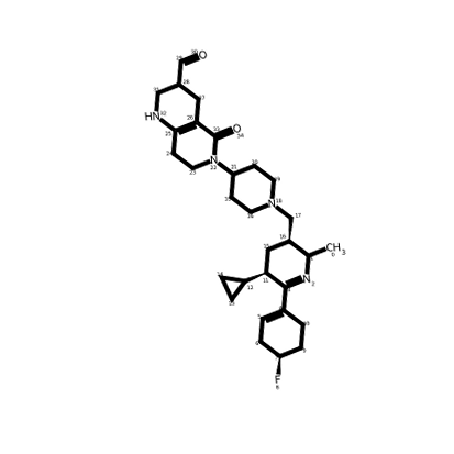 CC1N=C(C2=CC[C@H](F)CC2)[C@@H](C2CC2)C[C@H]1CN1CCC(N2CCC3=C(CC(C=O)CN3)C2=O)CC1